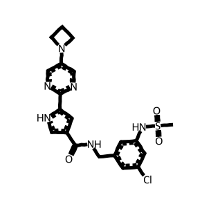 CS(=O)(=O)Nc1cc(Cl)cc(CNC(=O)c2c[nH]c(-c3ncc(N4CCC4)cn3)c2)c1